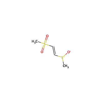 C[S+]([O-])/C=C/S(C)(=O)=O